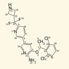 CC(Oc1cc(-c2ccc(C(F)(F)C3CNC3)nc2)cnc1N)c1c(Cl)cccc1Cl